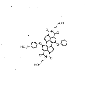 O=C1c2ccc3c4c(Oc5ccc(S(=O)(=O)O)cc5)cc5c6c(ccc(c7c(Oc8ccccc8)cc(c2c37)C(=O)N1CCCO)c64)C(=O)N(CCCO)C5=O